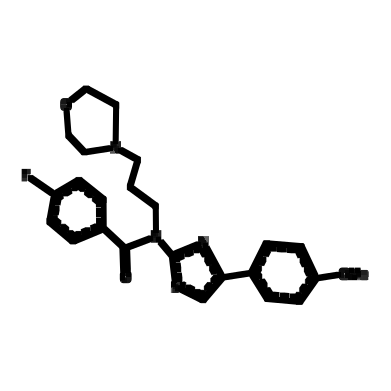 COc1ccc(-c2csc(N(CCCN3CCOCC3)C(=O)c3ccc(F)cc3)n2)cc1